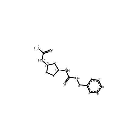 O=C(O)N[C@@H]1CC[C@H](NC(=O)OCc2ccccc2)C1